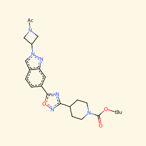 CC(=O)N1CC(n2cc3ccc(-c4nc(C5CCN(C(=O)OC(C)(C)C)CC5)no4)cc3n2)C1